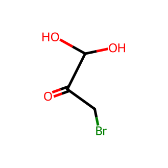 O=C(CBr)C(O)O